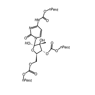 CCCCCOC(=O)Nc1ccn([C@]2(O)O[C@H](COC(=O)OCCCCC)[C@@H](OC(=O)OCCCCC)[C@@]2(C)O)c(=O)n1